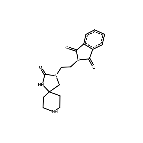 O=C1NC2(CCNCC2)CN1CCN1C(=O)c2ccccc2C1=O